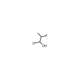 CC(F)C(O)Cl